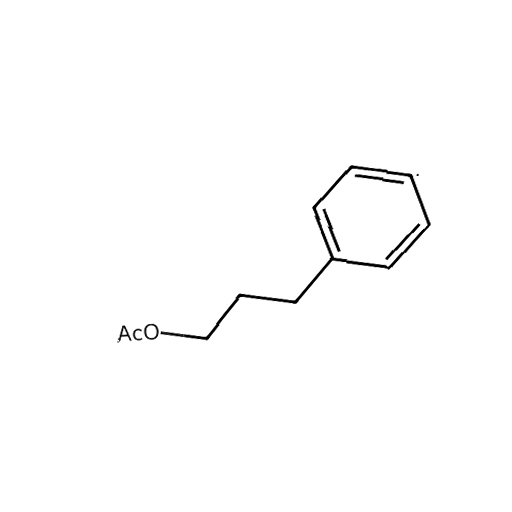 CC(=O)OCCCc1cc[c]cc1